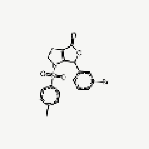 Cc1ccc(S(=O)(=O)N2CCC3=C2C(c2cccc(Br)c2)OC3=O)cc1